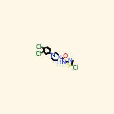 O=C(Nc1ncc(Cl)s1)N1CCCN(c2ccc(Cl)c(Cl)c2)CC1